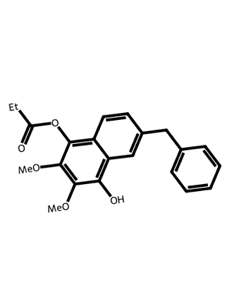 CCC(=O)Oc1c(OC)c(OC)c(O)c2cc(Cc3ccccc3)ccc12